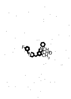 Cc1cc(CC2CCN(Cc3cccc(F)c3)CC2)cc2c1C(C)(C=O)N(C1CCCCC1)C2